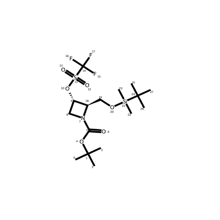 CC(C)(C)OC(=O)N1C[C@H](OS(=O)(=O)C(F)(F)F)[C@H]1CO[Si](C)(C)C(C)(C)C